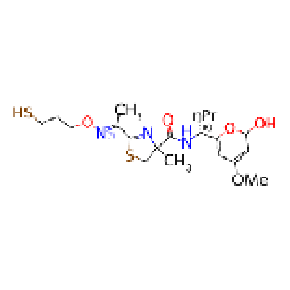 CCC[C@@H](NC(=O)C1(C)CSC(/C(C)=N/OCCCS)=N1)C1=CC(OC)=CC(O)O1